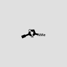 C#Cc1nc(NC)co1